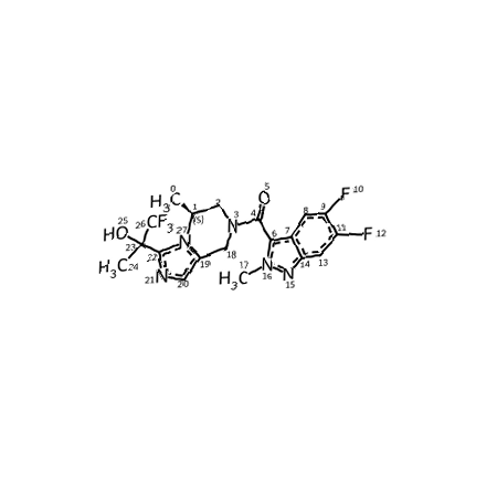 C[C@H]1CN(C(=O)c2c3cc(F)c(F)cc3nn2C)Cc2cnc(C(C)(O)C(F)(F)F)n21